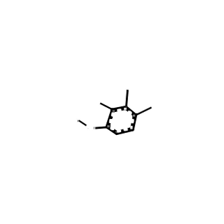 Cc1ccc([O][Ti])c(C)c1C